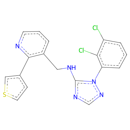 Clc1cccc(-n2ncnc2NCc2cccnc2-c2ccsc2)c1Cl